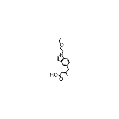 CCOCCn1ccc2cc(CC(C)=CC(=O)O)ccc21